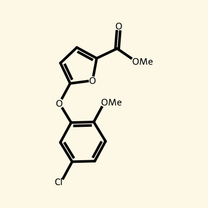 COC(=O)c1ccc(Oc2cc(Cl)ccc2OC)o1